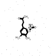 CC(=O)CCc1ccc(C)c(C)c1.N[SH](=O)=O